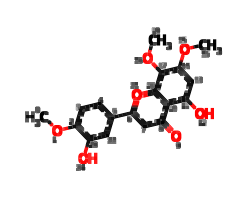 COc1ccc(-c2cc(=O)c3c(O)cc(OC)c(OC)c3o2)cc1O